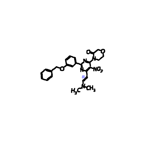 CN(C)/C=C/c1nc(-c2cccc(OCc3ccccc3)c2)nc(N2CCOCC2=O)c1[N+](=O)[O-]